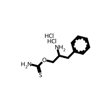 Cl.Cl.NC(=S)OCC(N)Cc1ccccc1